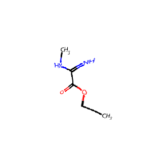 CCOC(=O)C(=N)NC